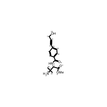 COC(=O)[C@@H](NC(=O)c1ccc(C#CCO)cc1)C(C)(C)N